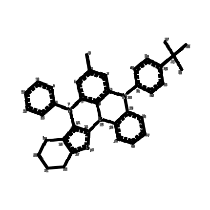 Cc1cc2c3c(c1)N(c1ccccc1)c1c(sc4c1CCCC4)B3c1ccccc1N2c1ccc(C(C)(C)C)cc1